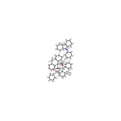 CC1(C)c2ccccc2C2(c3ccccc31)c1cc(-c3cccc(-n4c5ccccc5c5ccccc54)c3)sc1C1(c3ccccc3C(C)(C)c3ccccc31)c1cc(-c3ccccc3)sc12